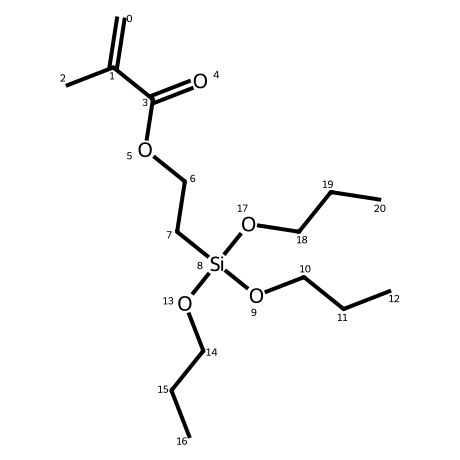 C=C(C)C(=O)OCC[Si](OCCC)(OCCC)OCCC